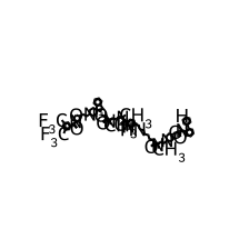 CN(CCN1CCC(OC(=O)Nc2ccccc2-c2ccccc2)CC1)C(=O)CCCCCNCc1ccc(C(=O)N(C)CCCN(C)C(=O)CO[C@H]2Cc3ccccc3C23CCN(CCC2CN(C(=O)c4cc(C(F)(F)F)cc(C(F)(F)F)c4)CO2)CC3)nc1